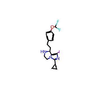 FC(F)Oc1ccc(CCC2NCCn3c(C4CC4)nc(I)c32)cc1